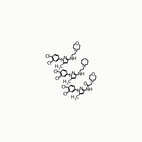 Cc1cc(NC(=O)CN2CCOCC2)nn1-c1ccc(Cl)c(Cl)c1.Cc1cc(NCCN2CCCCC2)nn1-c1ccc(Cl)c(Cl)c1.Cc1cc(NCCN2CCOCC2)nn1-c1ccc(Cl)c(Cl)c1